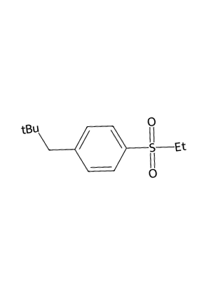 CCS(=O)(=O)c1ccc(CC(C)(C)C)cc1